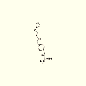 N=C(N)NCc1ccc(CNCCOC2CCC2)cc1